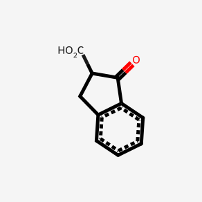 O=C(O)C1Cc2ccccc2C1=O